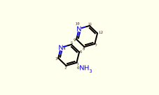 N.c1ccncc1.c1ccncc1